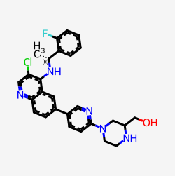 C[C@@H](Nc1c(Cl)cnc2ccc(-c3ccc(N4CCNC(CO)C4)nc3)cc12)c1ccccc1F